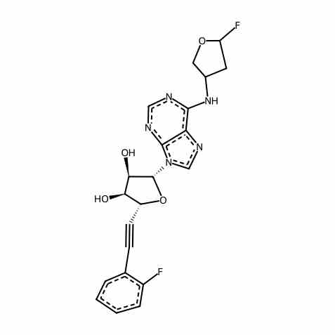 O[C@@H]1[C@H](O)[C@@H](C#Cc2ccccc2F)O[C@H]1n1cnc2c(NC3COC(F)C3)ncnc21